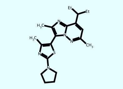 CCC(CC)c1cc(C)nn2c(-c3sc(N4CCCC4)nc3C)c(C)nc12